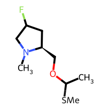 CSC(C)OC[C@@H]1CC(F)CN1C